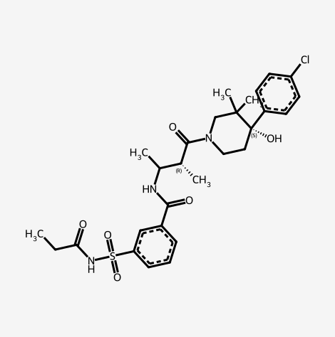 CCC(=O)NS(=O)(=O)c1cccc(C(=O)NC(C)[C@@H](C)C(=O)N2CC[C@](O)(c3ccc(Cl)cc3)C(C)(C)C2)c1